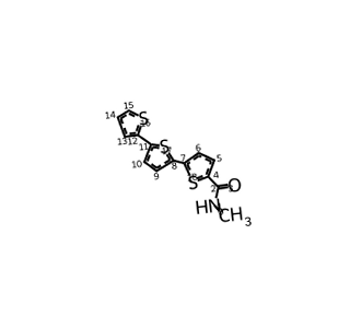 CNC(=O)c1ccc(-c2ccc(-c3cccs3)s2)s1